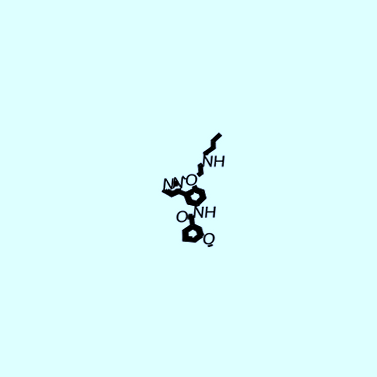 CCCCNCCOc1ccc(NC(=O)c2cccc(OC)c2)cc1-c1ccnn1C